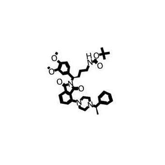 COc1ccc([C@@H](CCCNC(=O)OC(C)(C)C)N2C(=O)c3cccc(N4CCN([C@H](C)c5ccccc5)CC4)c3C2=O)cc1OC